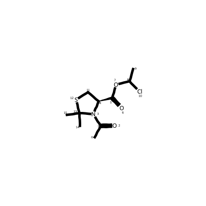 CC(=O)N1[C@H](C(=O)OC(C)Cl)CSC1(C)C